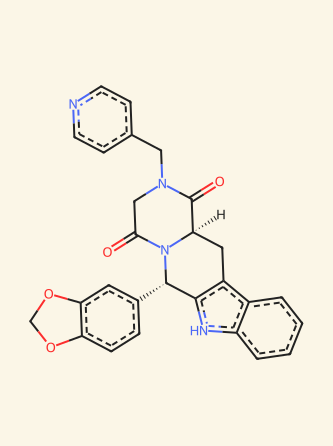 O=C1[C@H]2Cc3c([nH]c4ccccc34)[C@H](c3ccc4c(c3)OCO4)N2C(=O)CN1Cc1ccncc1